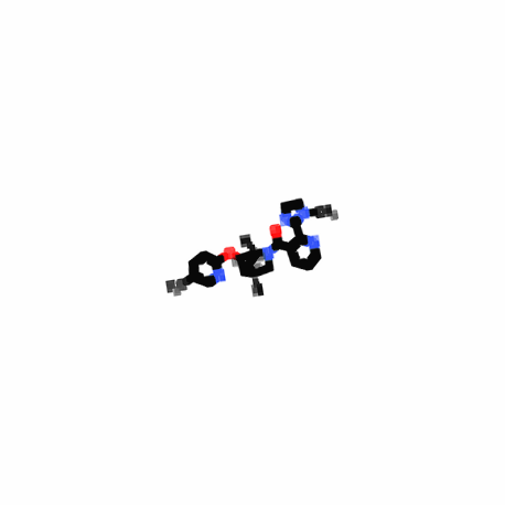 Cn1ccnc1-c1ncccc1C(=O)N1C[C@H]2C[C@@H](Oc3ccc(C(F)(F)F)cn3)[C@@H]1C2